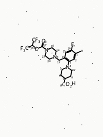 Cc1cc(N2CCC(C(=O)O)CC2)c(CN2CCN(C(=O)OC(C(F)(F)F)C(F)(F)F)CC2)cc1F